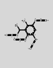 CCC(N=C=O)c1c(C)c(N=C=O)cc(N=C=O)c1N=C=O